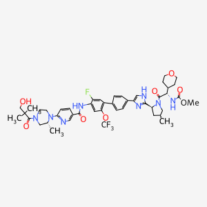 COC(=O)N[C@H](C(=O)N1C[C@@H](C)C[C@H]1c1nc(-c2ccc(-c3cc(F)c(NC(=O)c4ccc(N5CCN(C(=O)C(C)(C)CO)C[C@H]5C)nc4)cc3OC(F)(F)F)cc2)c[nH]1)C1CCOCC1